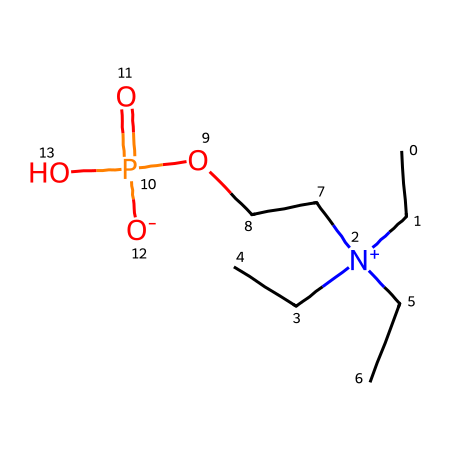 CC[N+](CC)(CC)CCOP(=O)([O-])O